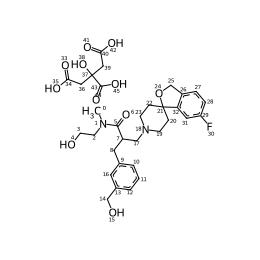 CN(CCO)C(=O)C(Cc1cccc(CO)c1)CN1CCC2(CC1)OCc1ccc(F)cc12.O=C(O)CC(O)(CC(=O)O)C(=O)O